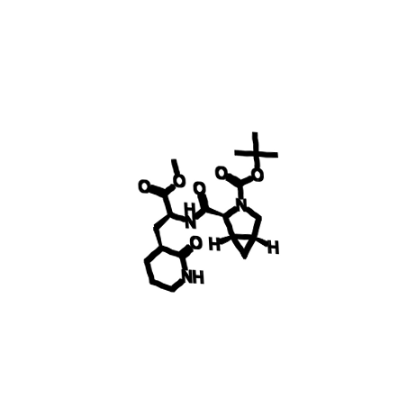 COC(=O)[C@H](C[C@@H]1CCCNC1=O)NC(=O)[C@@H]1[C@H]2C[C@H]2CN1C(=O)OC(C)(C)C